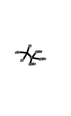 [CH2]CC(CC)(CCCC)[Si](OC)(OC)OC